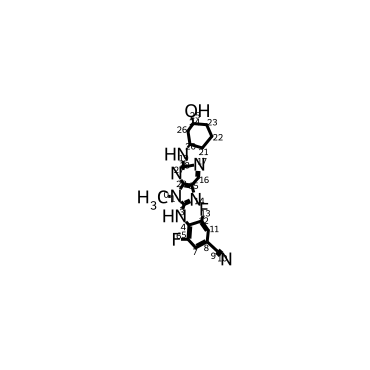 Cn1c(Nc2c(F)cc(C#N)cc2F)nc2cnc(N[C@@H]3CCC[C@H](O)C3)nc21